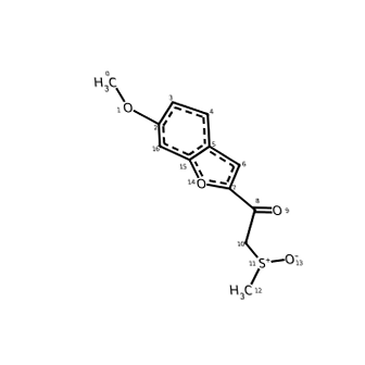 COc1ccc2cc(C(=O)C[S+](C)[O-])oc2c1